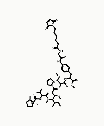 CCC(C)C(C(CC(=O)N1CCC[C@H]1C(OC)C(C)C(=O)NC(Cc1ccc(NC(=O)CNC(=O)CCCCCN2C(=O)C=CC2=O)cc1)C(=O)OC)OC)N(C)C(=O)C(NC(=O)[C@@]1(C)CCCN1C)C(C)C